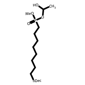 CCCCCCCCCCCCCCCCCCP(=O)(OC)OC(C)O